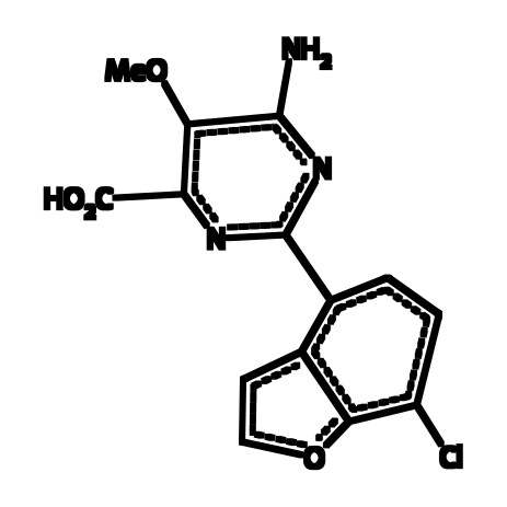 COc1c(N)nc(-c2ccc(Cl)c3occc23)nc1C(=O)O